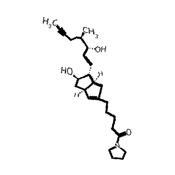 CC#CC[C@@H](C)[C@H](O)/C=C/[C@@H]1[C@H]2CC(CCCCC(=O)N3CCCC3)=C[C@H]2C[C@H]1O